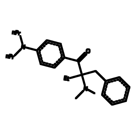 CCCN(CCC)c1ccc(C(=O)C(CC)(Cc2ccccc2)N(C)C)cc1